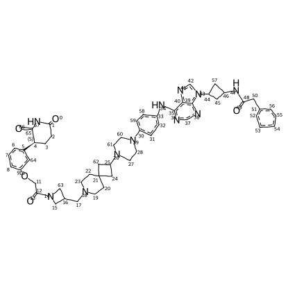 O=C1CC[C@@H](c2cccc(OCC(=O)N3CC(CN4CCC5(CC4)CC(N4CCN(c6ccc(Nc7ncnc8c7ncn8C7CC(NC(=O)Cc8ccccc8)C7)cc6)CC4)C5)C3)c2)C(=O)N1